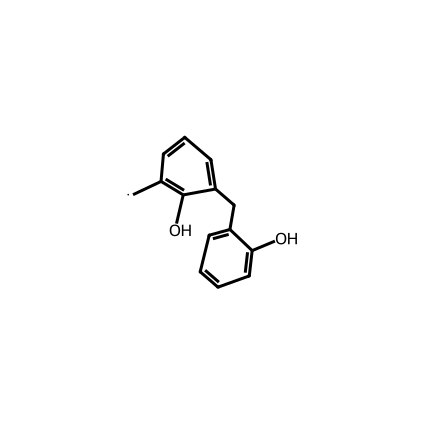 [CH2]c1cccc(Cc2ccccc2O)c1O